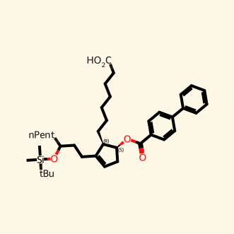 CCCCCC(CCC1=CC[C@H](OC(=O)c2ccc(-c3ccccc3)cc2)[C@@H]1CCCCCCC(=O)O)O[Si](C)(C)C(C)(C)C